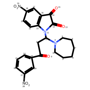 O=C(CC(N1CCCCCC1)N1C(=O)C(=O)c2cc([N+](=O)[O-])ccc21)c1cccc([N+](=O)[O-])c1